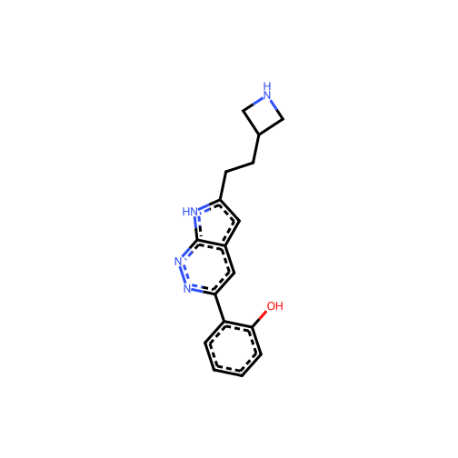 Oc1ccccc1-c1cc2cc(CCC3CNC3)[nH]c2nn1